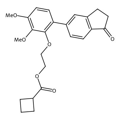 COc1ccc(-c2ccc3c(c2)CCC3=O)c(OCCOC(=O)C2CCC2)c1OC